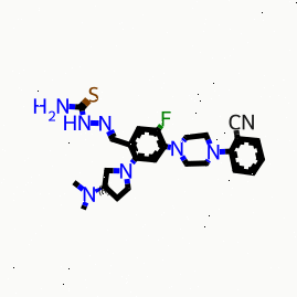 CN(C)[C@@H]1CCN(c2cc(N3CCN(c4ccccc4C#N)CC3)c(F)cc2C=NNC(N)=S)C1